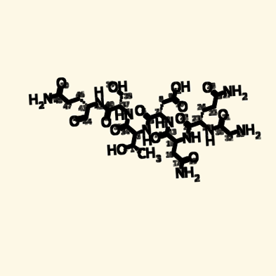 C[C@@H](O)[C@H](NC(=O)[C@H](CC(=O)O)NC(=O)C(CC(N)=O)NC(=O)[C@H](CCC(N)=O)NC(=O)CN)C(=O)N[C@@H](CO)C(=O)N[C@H](C=O)CCC(N)=O